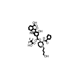 O=C(N[C@H]1CN(CCCCO)CCC[C@@H]1OC(=O)c1cc(O)c(C(=O)c2c(O)cccc2C(=O)O)c(O)c1)c1ccccc1.O=C(O)C(F)(F)F